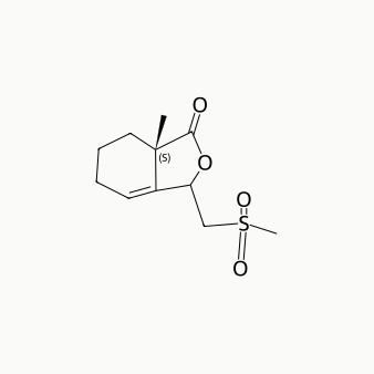 C[C@]12CCCC=C1C(CS(C)(=O)=O)OC2=O